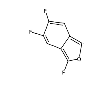 Fc1cc2[c]oc(F)c2cc1F